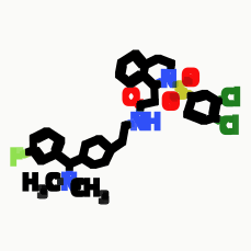 CN(C)C(c1cccc(F)c1)C1CCC(CCNC(=O)CC2c3ccccc3CCN2S(=O)(=O)c2ccc(Cl)c(Cl)c2)CC1